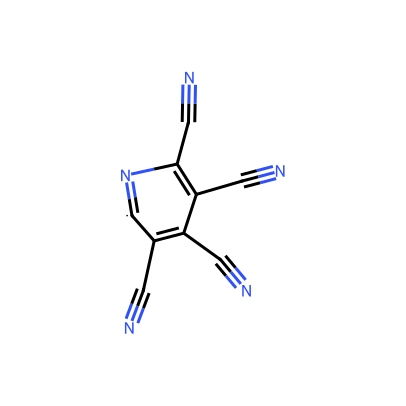 N#Cc1[c]nc(C#N)c(C#N)c1C#N